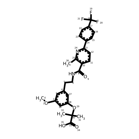 COc1cc(CCNC(=O)c2ccc(-c3ccc(C(F)(F)F)cc3)nc2C)cc(OC(C)(C)C(=O)O)c1